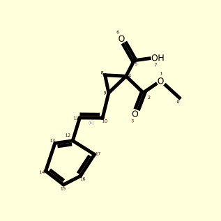 COC(=O)C1(C(=O)O)CC1/C=C/c1ccccc1